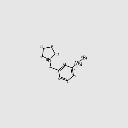 [Br][Mg][c]1cccc(CN2CCCC2)c1